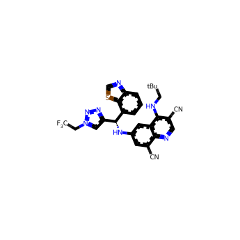 CC(C)(C)CNc1c(C#N)cnc2c(C#N)cc(N[C@H](c3cn(CC(F)(F)F)nn3)c3cccc4ncsc34)cc12